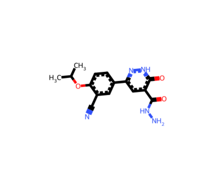 CC(C)Oc1ccc(-c2cc(C(=O)NN)c(=O)[nH]n2)cc1C#N